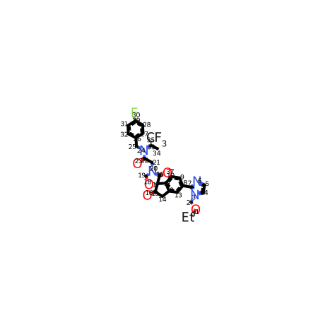 CCOCn1ccnc1-c1ccc2c(c1)CC(=O)[C@]21OCN(CC(=O)N(Cc2ccc(F)cc2)[C@@H](C)C(F)(F)F)C1=O